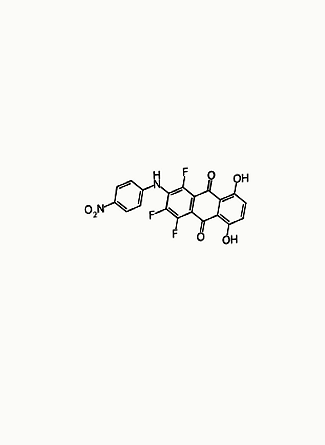 O=C1c2c(O)ccc(O)c2C(=O)c2c(F)c(Nc3ccc([N+](=O)[O-])cc3)c(F)c(F)c21